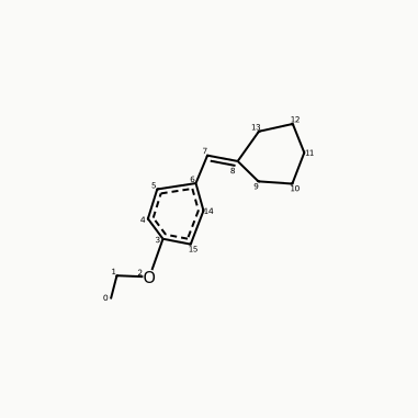 CCOc1ccc(C=C2CCCCC2)cc1